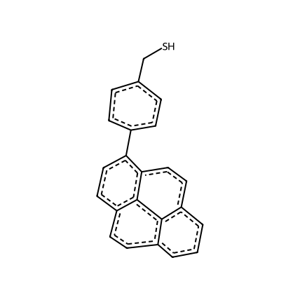 SCc1ccc(-c2ccc3ccc4cccc5ccc2c3c45)cc1